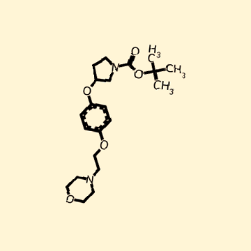 CC(C)(C)OC(=O)N1CCC(Oc2ccc(OCCN3CCOCC3)cc2)C1